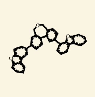 c1ccc2c(c1)oc1ccc(-c3ccc4c(c3)COCc3ccc(-c5cccc6c5oc5ccccc56)cc3-4)cc12